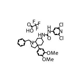 COc1ccc(C23CCC(NC(=O)Nc4cc(Cl)nc(Cl)c4)CC2N(Cc2ccccc2)CC3)cc1OC.O=C(O)C(F)(F)F